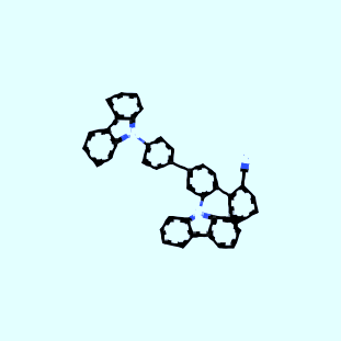 N#Cc1ccccc1-c1ccc(-c2ccc(-n3c4ccccc4c4ccccc43)cc2)cc1-n1c2ccccc2c2ccccc21